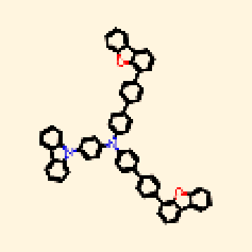 c1ccc2c(c1)oc1c(-c3ccc(-c4ccc(N(c5ccc(-c6ccc(-c7cccc8c7oc7ccccc78)cc6)cc5)c5ccc(-n6c7ccccc7c7ccccc76)cc5)cc4)cc3)cccc12